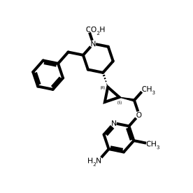 Cc1cc(N)cnc1OC(C)[C@H]1C[C@@H]1C1CCN(C(=O)O)C(Cc2ccccc2)C1